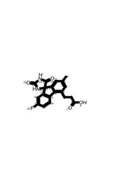 Cc1cc(CCC(=O)O)c2c(c1)C1(NC(=O)NC1=O)c1cc(F)ccc1-2